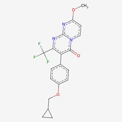 COc1ccn2c(=O)c(-c3ccc(OCC4CC4)cc3)c(C(F)(F)F)nc2n1